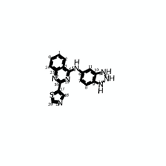 c1ccc2c(Nc3ccc4c(c3)NNN4)nc(-c3cncs3)nc2c1